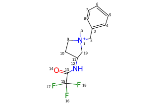 C[N+]1(Cc2ccccc2)CCC(NC(=O)C(F)(F)F)C1